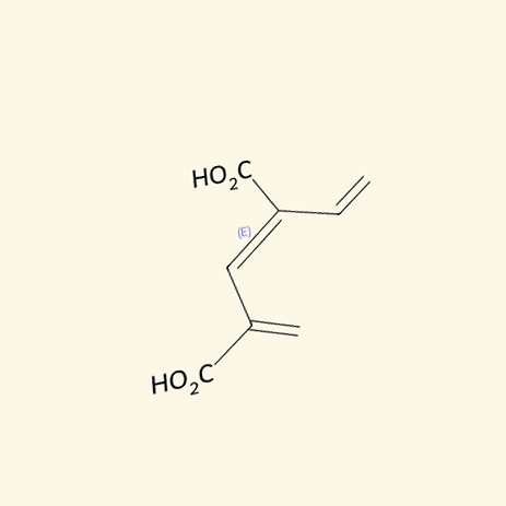 C=C/C(=C\C(=C)C(=O)O)C(=O)O